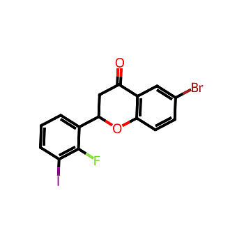 O=C1CC(c2cccc(I)c2F)Oc2ccc(Br)cc21